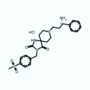 CS(=O)(=O)c1ccc(CN2C(=O)NC3(CCN(CC[C@H](N)c4ccccc4)CC3)C2=O)cc1.Cl